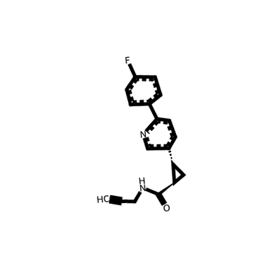 C#CCNC(=O)[C@@H]1C[C@H]1c1ccc(-c2ccc(F)cc2)nc1